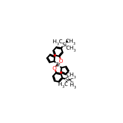 C[Si](C)(C)c1cccc([O][Zr]([O]c2cccc([Si](C)(C)C)c2)([CH]2C=CC=C2)[CH]2C=CC=C2)c1